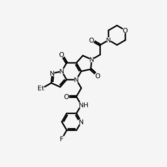 CCc1cc2n(CC(=O)Nc3ccc(F)cn3)c3c(c(=O)n2n1)CN(CC(=O)N1CCOCC1)C3=O